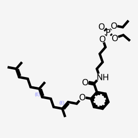 CCOP(=O)(OCC)OCCCCNC(=O)c1ccccc1OC/C=C(\C)CC/C=C(\C)CCC=C(C)C